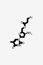 CC(=O)CCC(=O)OCC1O[C@@H](n2cc(C)c(=O)[nH]c2=O)C[C@@H]1N